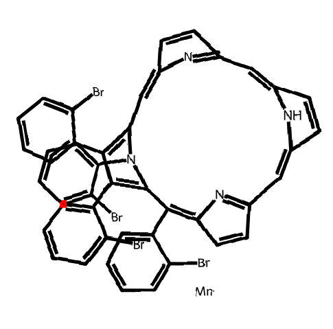 Brc1ccccc1-c1c(-c2ccccc2Br)c2c(-c3ccccc3Br)c3nc(cc4ccc(cc5nc(cc1n2-c1ccccc1Br)C=C5)[nH]4)C=C3.[Mn]